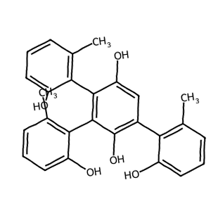 Cc1cccc(O)c1-c1cc(O)c(-c2c(C)cccc2O)c(-c2c(C)cccc2O)c1O